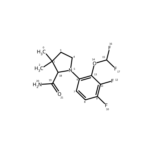 CC1(C)CCN(c2ccc(F)c(F)c2OC(F)F)C1C(N)=O